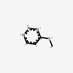 CSc1ccnnn1